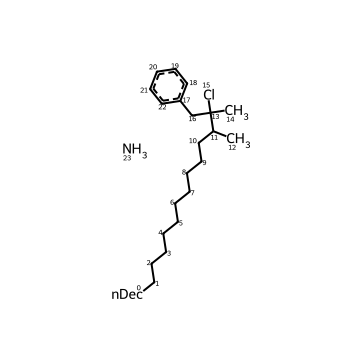 CCCCCCCCCCCCCCCCCCCCC(C)C(C)(Cl)Cc1ccccc1.N